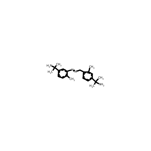 Cc1cc(C(C)(C)N)ccc1C/N=N/c1cc(C(C)(C)N)ccc1C